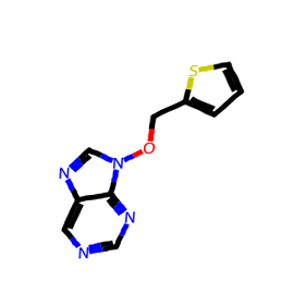 c1csc(COn2cnc3cncnc32)c1